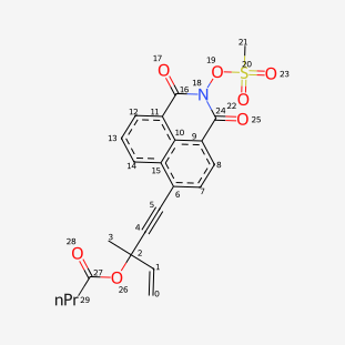 C=CC(C)(C#Cc1ccc2c3c(cccc13)C(=O)N(OS(C)(=O)=O)C2=O)OC(=O)CCC